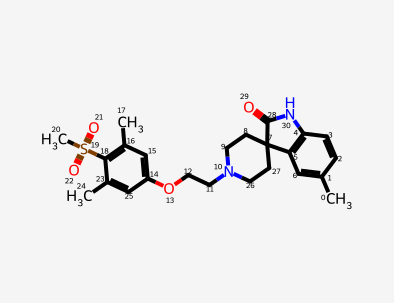 Cc1ccc2c(c1)C1(CCN(CCOc3cc(C)c(S(C)(=O)=O)c(C)c3)CC1)C(=O)N2